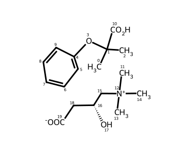 CC(C)(Oc1ccccc1)C(=O)O.C[N+](C)(C)C[C@H](O)CC(=O)[O-]